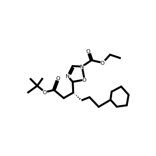 CCOC(=O)N1C=NC([C@H](CCCC2CCCCC2)CC(=O)OC(C)(C)C)O1